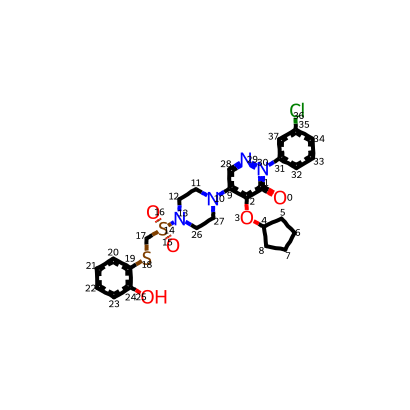 O=c1c(OC2CCCC2)c(N2CCN(S(=O)(=O)CSc3ccccc3O)CC2)cnn1-c1cccc(Cl)c1